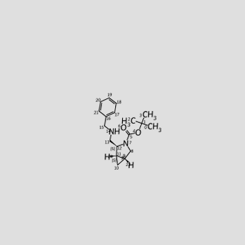 CC(C)(C)OC(=O)N1C[C@@H]2C[C@@H]2[C@H]1CNCc1ccccc1